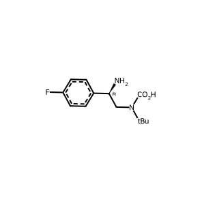 CC(C)(C)N(C[C@H](N)c1ccc(F)cc1)C(=O)O